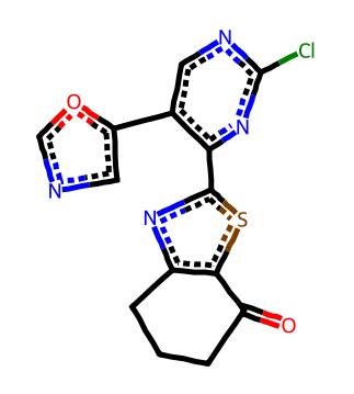 O=C1CCCc2nc(-c3nc(Cl)ncc3-c3cnco3)sc21